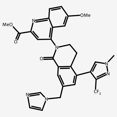 COC(=O)c1cc(N2CCc3c(cc(Cn4ccnc4)cc3-c3cn(C)nc3C(F)(F)F)C2=O)c2cc(OC)ccc2n1